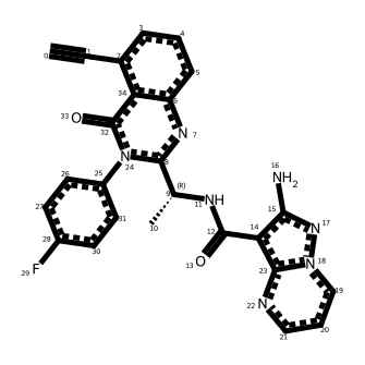 C#Cc1cccc2nc([C@@H](C)NC(=O)c3c(N)nn4cccnc34)n(-c3ccc(F)cc3)c(=O)c12